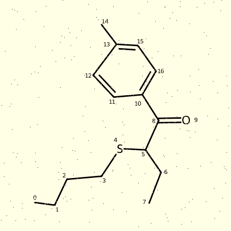 CCCCSC(CC)C(=O)c1ccc(C)cc1